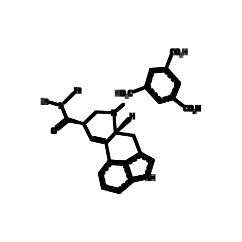 CCN(CC)C(=O)[C@@H]1C=C2c3cccc4[nH]cc(c34)C[C@H]2N(C)C1.O=C(O)c1cc(C(=O)O)cc(C(=O)O)c1